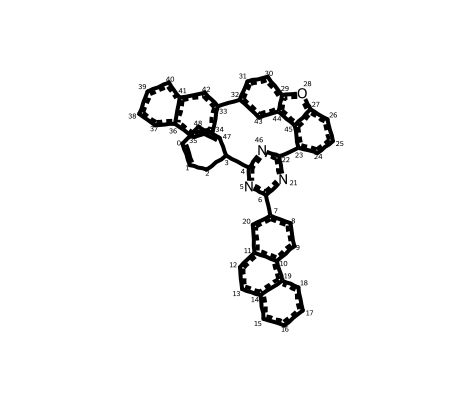 C1=CCC(c2nc(-c3ccc4c(ccc5ccccc54)c3)nc(-c3cccc4oc5ccc(-c6ccc7ccccc7c6)cc5c34)n2)C=C1